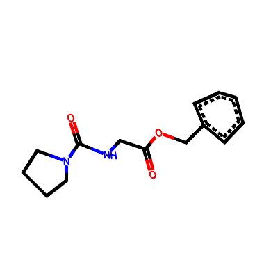 O=C(CNC(=O)N1CCCC1)OCc1ccccc1